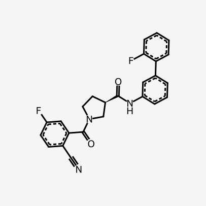 N#Cc1ccc(F)cc1C(=O)N1CC[C@@H](C(=O)Nc2cccc(-c3ccccc3F)c2)C1